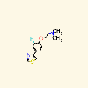 CN(C)CCOc1ccc(-c2cs[c]n2)cc1F